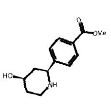 COC(=O)c1ccc([C@@H]2C[C@H](O)CCN2)cc1